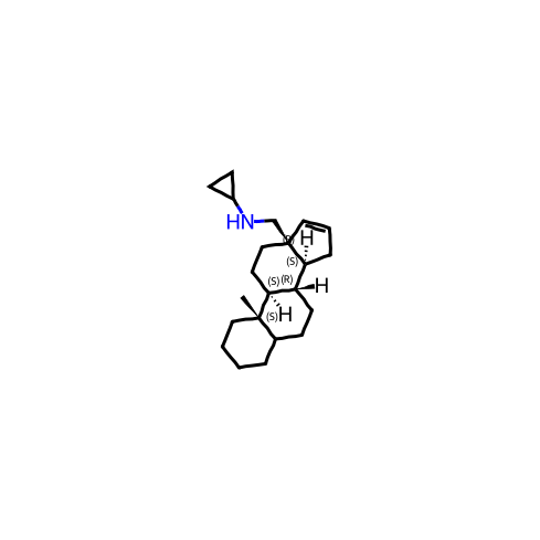 C[C@]12CCCCC1CC[C@H]1[C@@H]3CC=C[C@@]3(CNC3CC3)CC[C@@H]12